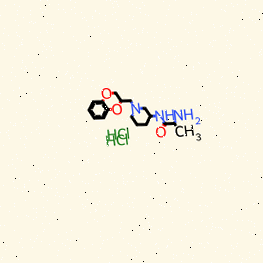 CC(N)C(=O)NC1CCCN(CC2COc3ccccc3O2)C1.Cl.Cl